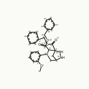 COc1ccccc1N1CC2CC(C(=O)OCc3ccccc3)(NN2)C1C(=O)OCc1ccccc1